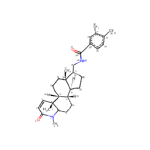 CN1C(=O)C=C[C@@]2(C)C1CC[C@@H]1[C@H]2CC[C@]2(C)C(CNC(=O)c3ccc(C(F)(F)F)c(C(F)(F)F)c3)CC[C@@H]12